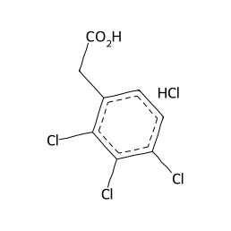 Cl.O=C(O)Cc1ccc(Cl)c(Cl)c1Cl